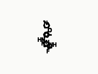 Cc1cc(Nc2ncc3c(F)c[nH]c3n2)ccc1OC1CCN(C)CC1